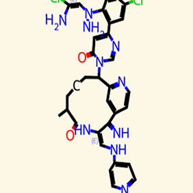 CC1CCCC(n2cnc(-c3cc(Cl)ccc3N(N)/C=C(\N)Cl)cc2=O)c2cc(ccn2)C(=N)/C(=C\Nc2ccncc2)NC1=O